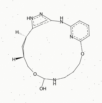 OC1NCCCOc2cccc(n2)Nc2cc([nH]n2)[C@H]2C[C@H](CO1)C2